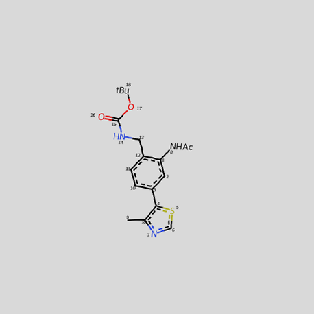 CC(=O)Nc1cc(-c2scnc2C)ccc1CNC(=O)OC(C)(C)C